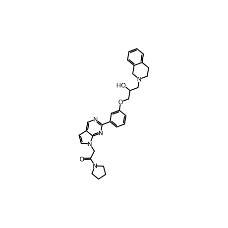 O=C(Cn1ccc2cnc(-c3cccc(OCC(O)CN4CCc5ccccc5C4)c3)nc21)N1CCCC1